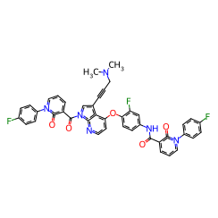 CN(C)CC#Cc1cn(C(=O)c2cccn(-c3ccc(F)cc3)c2=O)c2nccc(Oc3ccc(NC(=O)c4cccn(-c5ccc(F)cc5)c4=O)cc3F)c12